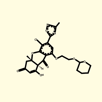 Cc1noc(-c2cc(OCCOC3CCCCO3)c3c(c2Cl)O[C@@]2(C)CC(=O)C=C(O)[C@@H]2C3=O)n1